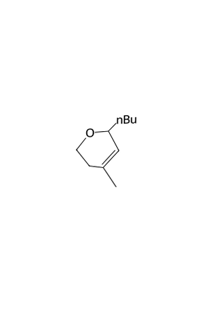 CCCCC1C=C(C)CCO1